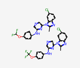 Cc1nc2ccc(Cl)cc2n1-c1cncc(Nc2ccc(OC(F)(F)F)cc2)n1.Cc1nc2ccc(Cl)cc2n1-c1cncc(Nc2ccc(OC(F)F)cc2)n1